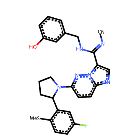 CSc1ccc(F)cc1C1CCCN1c1ccc2ncc(/C(=N/C#N)NCc3cccc(O)c3)n2n1